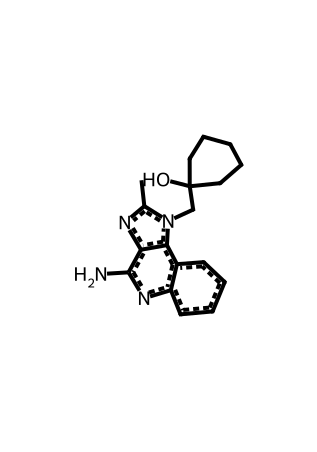 Cc1nc2c(N)nc3ccccc3c2n1CC1(O)CCCCC1